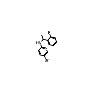 CC(Nc1ccc(Br)cn1)c1ccccc1F